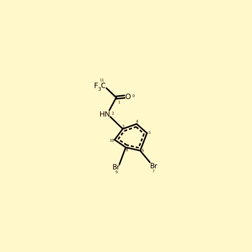 O=C(Nc1ccc(Br)c(Br)c1)C(F)(F)F